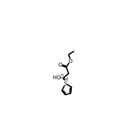 CCOC(=O)C[C@@H](O)[SH]1C=CC=C1